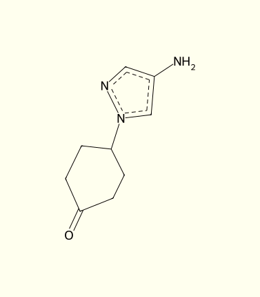 Nc1cnn(C2CCC(=O)CC2)c1